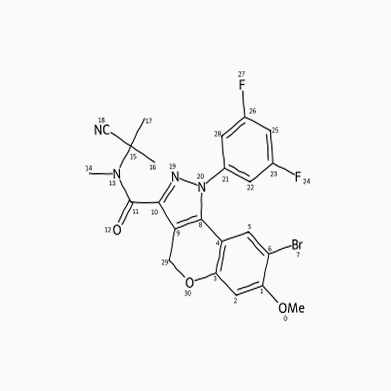 COc1cc2c(cc1Br)-c1c(c(C(=O)N(C)C(C)(C)C#N)nn1-c1cc(F)cc(F)c1)CO2